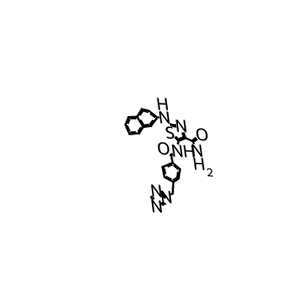 NC(=O)c1nc(Nc2ccc3ccccc3c2)sc1NC(=O)c1ccc(Cn2cncn2)cc1